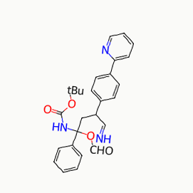 CC(C)(C)OC(=O)NC(CC(C=N)c1ccc(-c2ccccn2)cc1)(OC=O)c1ccccc1